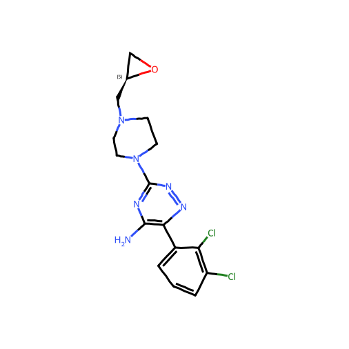 Nc1nc(N2CCN(C[C@H]3CO3)CC2)nnc1-c1cccc(Cl)c1Cl